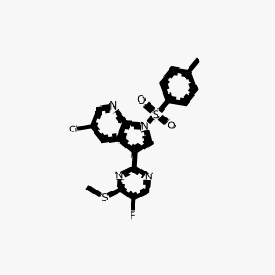 CSc1nc(-c2cn(S(=O)(=O)c3ccc(C)cc3)c3ncc(Cl)cc23)ncc1F